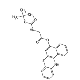 CC(C)(C)OC(=O)NCC(=O)Oc1cc2c(c3ccccc13)Nc1ccccc1S2